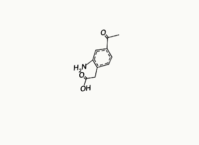 CC(=O)c1ccc(CC(=O)O)c(N)c1